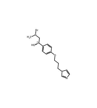 CC(=O)N(C)C[C@H](O)c1ccc(OCCCn2ccnc2)cc1